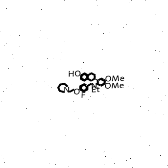 CCN(Cc1ccc(OCCN2CCCCCC2)c(F)c1)C1C=C(OC)C(OC)=CC1[C@@H]1CCc2cc(O)ccc2C1